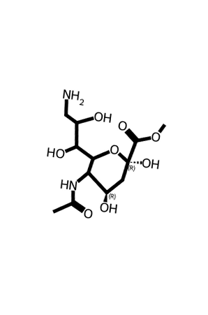 COC(=O)[C@@]1(O)C[C@@H](O)C(NC(C)=O)C(C(O)C(O)CN)O1